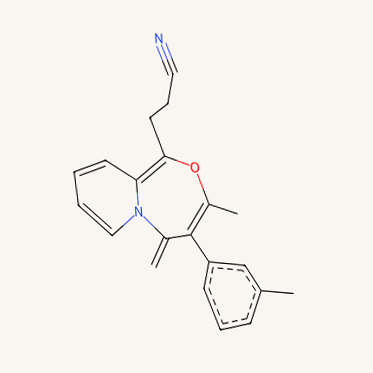 C=C1C(c2cccc(C)c2)=C(C)OC(CCC#N)=C2C=CC=CN12